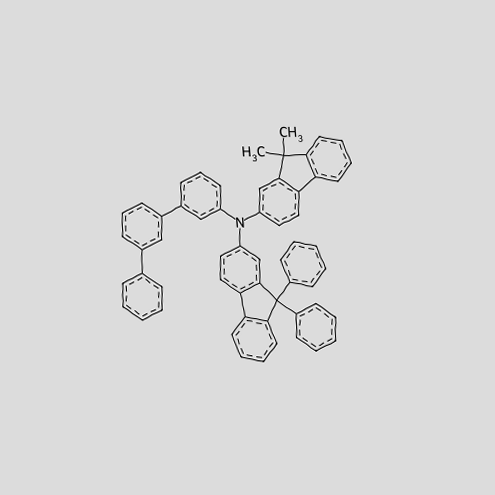 CC1(C)c2ccccc2-c2ccc(N(c3cccc(-c4cccc(-c5ccccc5)c4)c3)c3ccc4c(c3)C(c3ccccc3)(c3ccccc3)c3ccccc3-4)cc21